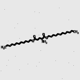 CCCCCCCCCCCCOC(=O)CC[C@@H](N)C(=O)OCCCCCCCCCCCC